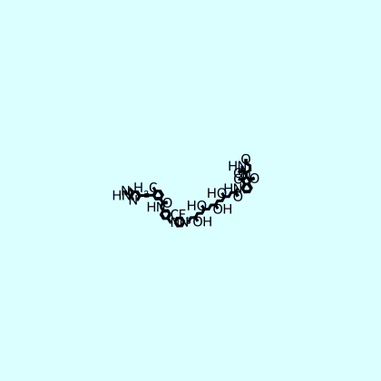 Cc1ccc(C(=O)Nc2ccc(CN3CCN(CCC(O)CCC(O)CCC(O)CCC(O)CCC(=O)Nc4cccc5c4C(=O)N(C4CCC(=O)NC4=O)C5=O)CC3)c(C(F)(F)F)c2)cc1C#Cc1cnc2[nH]ncc2c1